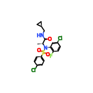 C[C@H](C(=O)NCC1CC1)N(c1cc(Cl)ccc1F)S(=O)(=O)c1ccc(Cl)cc1